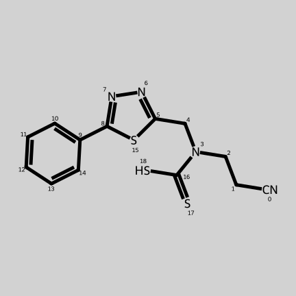 N#CCCN(Cc1nnc(-c2ccccc2)s1)C(=S)S